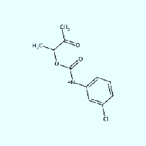 CC(=O)C(C)OC(=O)Nc1cccc(Cl)c1